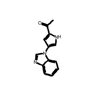 CC(=O)c1cc(-n2cnc3ccccc32)c[nH]1